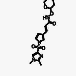 Cc1nc(S(=O)(=O)n2ccc(C=CC(=O)NOC3CCCCO3)c2)cn1C